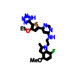 CCOc1cc(-c2cc(NCCn3c(C)cc4c(OC)ccc(F)c43)ncn2)sc1-c1nnn[nH]1